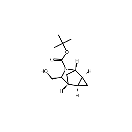 CC(C)(C)OC(=O)N1[C@H](CO)[C@@H]2C[C@H]1[C@H]1C[C@@H]21